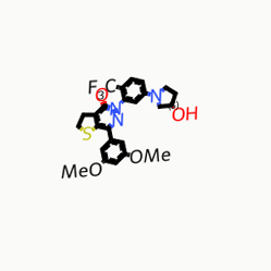 COc1cc(OC)cc(-c2nn(-c3cc(N4CC[C@H](O)C4)ccc3C(F)(F)F)c(=O)c3c2SCC3)c1